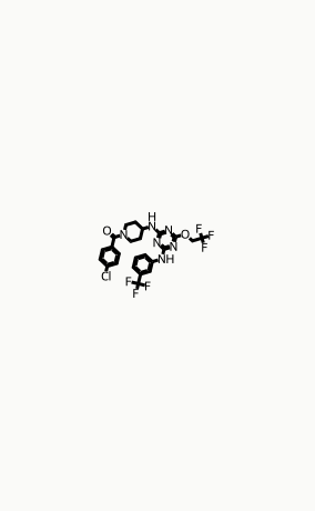 O=C(c1ccc(Cl)cc1)N1CCC(Nc2nc(Nc3cccc(C(F)(F)F)c3)nc(OCC(F)(F)F)n2)CC1